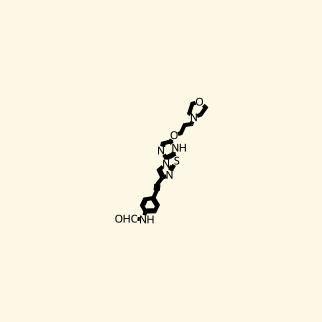 O=CNc1ccc(C#Cc2cn3c4c(sc3n2)NC(OCCCN2CCOCC2)C=N4)cc1